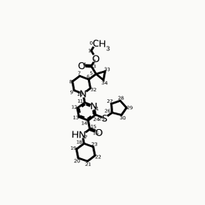 CCOC(=O)C1(C2CCCN(c3ccc(C(=O)NC4CCCCC4)c(SC4CCCC4)n3)C2)CC1